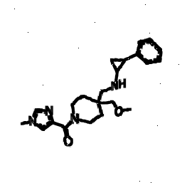 COCC1(CNC2CC2c2ccccc2)CCN(C(=O)c2cn(C)cn2)CC1